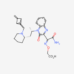 C=C1C2CC1C2=CN1CCCC[C@H]1C[C@H](C)n1c(=O)c(/C(=N/OCC(=O)O)C(N)=O)nc2ccccc21